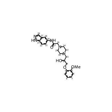 COc1ccccc1OCC(O)CN1CCN(CC(=O)Nc2ccc3[nH]ncc3c2)CC1